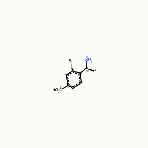 C[C@H](N)c1ccc(C(=O)O)cc1F